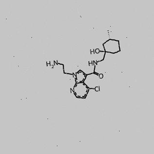 C[C@@H]1CCC[C@](O)(CNC(=O)c2cn(CCN)c3nccc(Cl)c23)C1